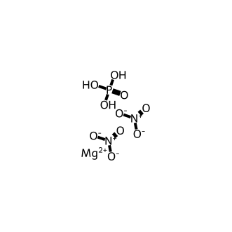 O=P(O)(O)O.O=[N+]([O-])[O-].O=[N+]([O-])[O-].[Mg+2]